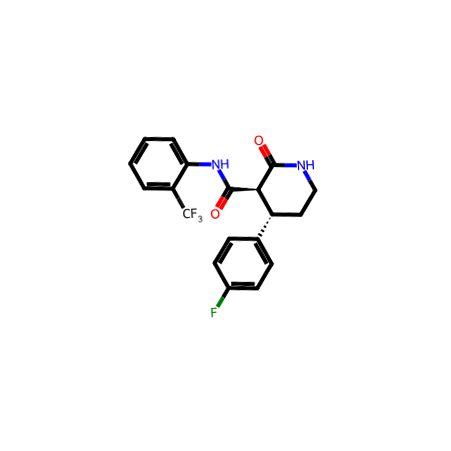 O=C1NCC[C@H](c2ccc(F)cc2)[C@H]1C(=O)Nc1ccccc1C(F)(F)F